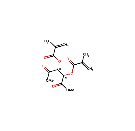 C=C(C)C(=O)O[C@H](C(=O)OC)[C@@H](OC(=O)C(=C)C)C(=O)OC